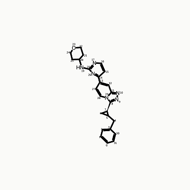 c1ccc(CC2C[C@H]2c2nnc3cc(-c4ccnc(NC5CCOCC5)n4)ccn23)cc1